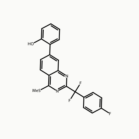 CSc1nc(C(F)(F)c2ccc(F)cc2)nc2cc(-c3ccccc3O)ccc12